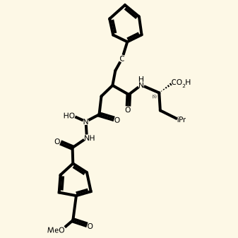 COC(=O)c1ccc(C(=O)NN(O)C(=O)CC(CCc2ccccc2)C(=O)N[C@@H](CC(C)C)C(=O)O)cc1